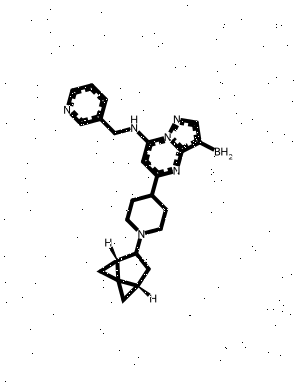 Bc1cnn2c(NCc3cccnc3)cc(C3CCN(C4C[C@@H]5CC56C[C@H]46)CC3)nc12